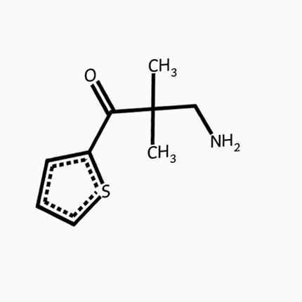 CC(C)(CN)C(=O)c1cccs1